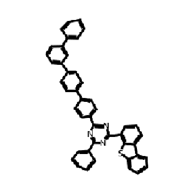 c1ccc(-c2cccc(-c3ccc(-c4ccc(-c5nc(-c6ccccc6)nc(-c6cccc7c6sc6ccccc67)n5)cc4)cc3)c2)cc1